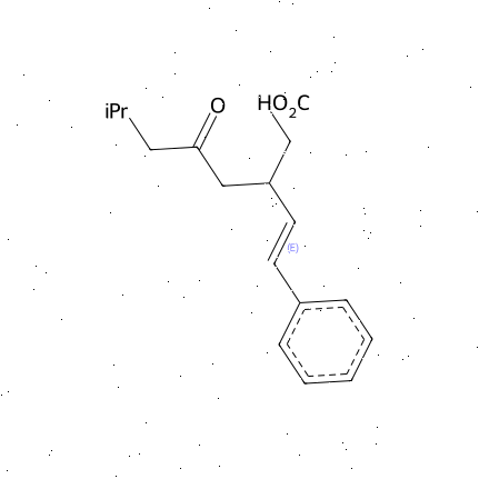 CC(C)CC(=O)CC(/C=C/c1ccccc1)CC(=O)O